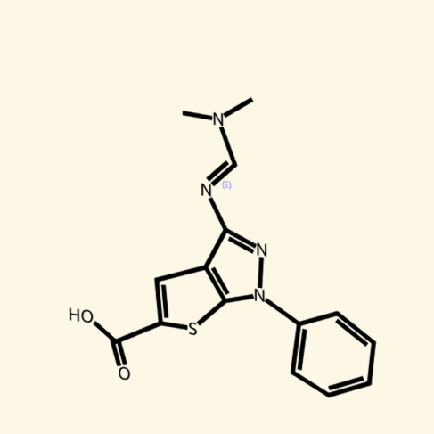 CN(C)/C=N/c1nn(-c2ccccc2)c2sc(C(=O)O)cc12